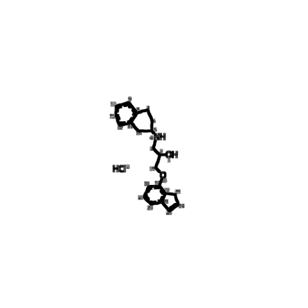 Cl.OC(CNC1CCc2ccccc2C1)COc1cccc2c1CC=C2